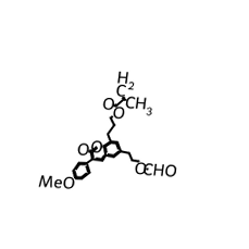 C=C(C)C(=O)OCCCc1cc(CCCOC=O)cc2cc(-c3ccc(OC)cc3)c(=O)oc12